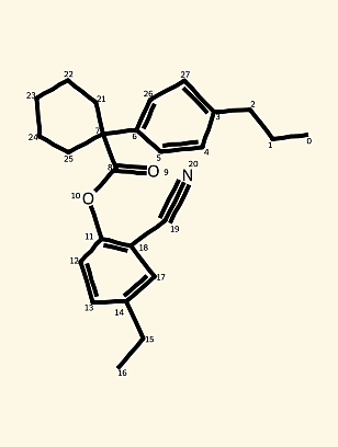 CCCc1ccc(C2(C(=O)Oc3ccc(CC)cc3C#N)CCCCC2)cc1